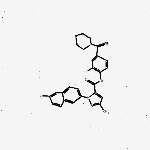 Cc1cc(C(=O)Nc2ccc(C(=N)N3CCCCC3)cc2F)n(-c2ccc3cc(Cl)ccc3c2)n1